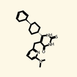 CN(C)c1cccc(Cc2c(=O)[nH]c(=S)[nH]c2[C@H]2CC[C@H](C3C=CC=CC3)CC2)n1